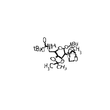 CC(C)(C)OC(=O)NCC1OC(O[Si](C)(C)C(C)(C)C)C(N2CCOCC2)C2OC(C)(C)OC12